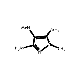 CNc1c([AsH2])nn(C)c1[AsH2]